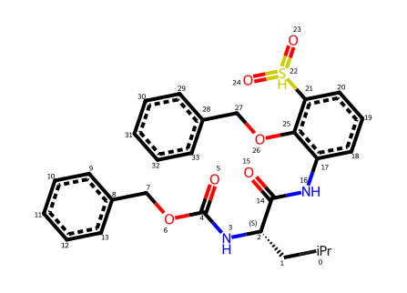 CC(C)C[C@H](NC(=O)OCc1ccccc1)C(=O)Nc1cccc([SH](=O)=O)c1OCc1ccccc1